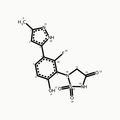 Cc1cc(-c2ccc(O)c(N3CC(=O)NS3(=O)=O)c2F)[nH]n1